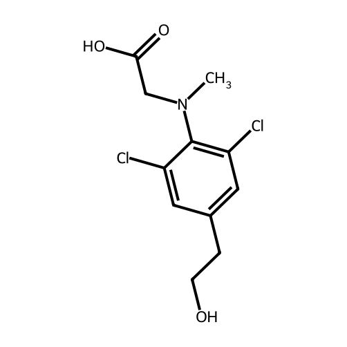 CN(CC(=O)O)c1c(Cl)cc(CCO)cc1Cl